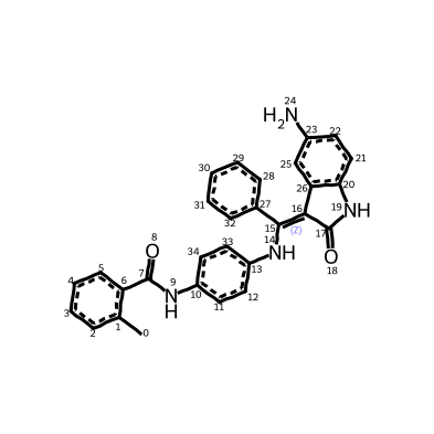 Cc1ccccc1C(=O)Nc1ccc(N/C(=C2\C(=O)Nc3ccc(N)cc32)c2ccccc2)cc1